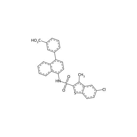 Cc1c(S(=O)(=O)Nc2ccc(-c3cccc(C(=O)O)c3)c3ccccc23)sc2ccc(Cl)cc12